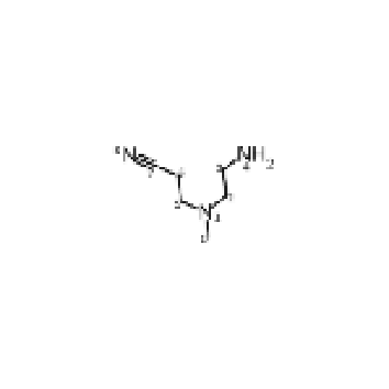 CN(CCN)CCC#N